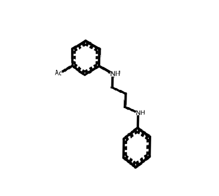 CC(=O)c1cccc(NCCCNc2ccccc2)c1